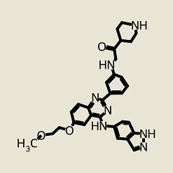 COCCOc1ccc2nc(-c3cccc(NCC(=O)C4CCNCC4)c3)nc(Nc3ccc4[nH]ncc4c3)c2c1